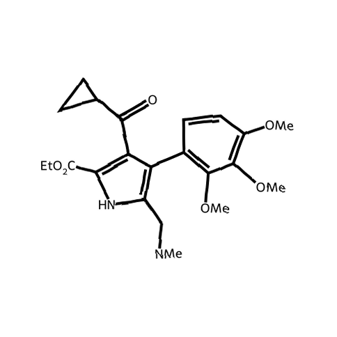 CCOC(=O)c1[nH]c(CNC)c(-c2ccc(OC)c(OC)c2OC)c1C(=O)C1CC1